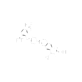 C[C@H](C(=O)O)C(c1ccc2c(c1)CN(C1CCN(Cc3cc(C(F)(F)F)ccc3C(F)(F)F)CC1)CC2)C1CC1